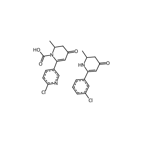 CC1CC(=O)C=C(c2ccc(Cl)nc2)N1C(=O)O.CC1CC(=O)C=C(c2cccc(Cl)c2)N1